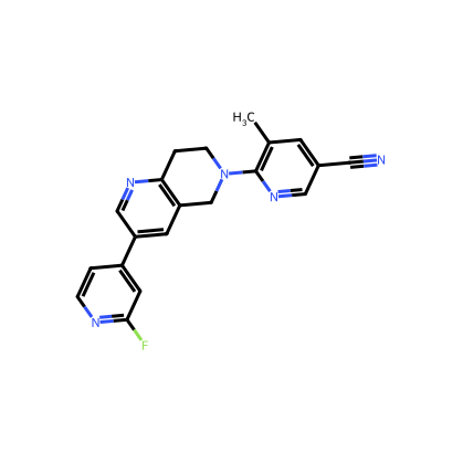 Cc1cc(C#N)cnc1N1CCc2ncc(-c3ccnc(F)c3)cc2C1